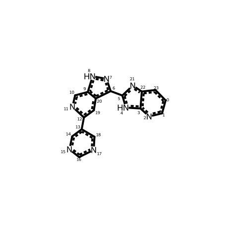 c1cnc2[nH]c(-c3n[nH]c4cnc(-c5cncnc5)cc34)nc2c1